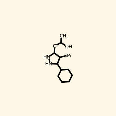 CC(O)OC1NNC(C2CCCCC2)C1C(C)C